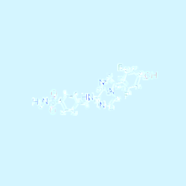 NS(=O)(=O)c1ccc(CNc2nccn3c(-c4c(F)cc(O)cc4F)cnc23)cc1